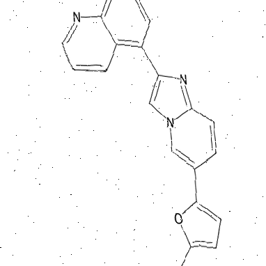 OCc1ccc(-c2ccc3nc(-c4cccc5ncccc45)cn3c2)o1